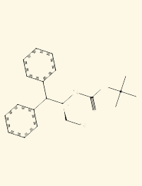 CC(C)(C)OC(=O)N[C@@H](CN)C(c1ccccc1)c1ccccc1